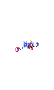 CC(C)c1c(/C=c2\[nH]c(=O)/c(=C/c3ccccc3)[nH]c2=O)ncn1CCCN1CCOCC1